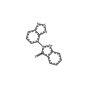 S=c1c2ccccc2[se]n1-c1cccc2nsnc12